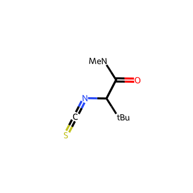 CNC(=O)C(N=C=S)C(C)(C)C